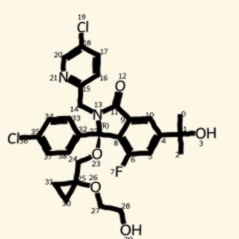 CC(C)(O)c1cc(F)c2c(c1)C(=O)N(Cc1ccc(Cl)cn1)[C@@]2(OCC1(OCCO)CC1)c1ccc(Cl)cc1